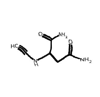 C#CNC(CC(N)=O)C(N)=O